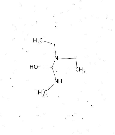 CCN(CC)C(O)NC